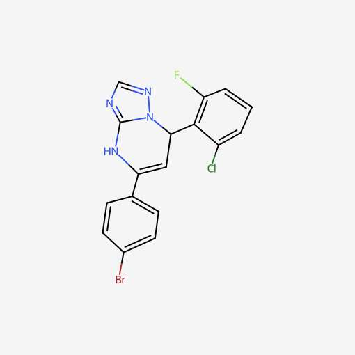 Fc1cccc(Cl)c1C1C=C(c2ccc(Br)cc2)Nc2ncnn21